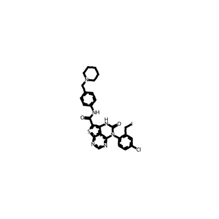 O=C(Nc1ccc(CN2CCCCC2)cc1)c1sc2ncnc3c2c1NC(=O)N3c1ccc(Cl)cc1CI